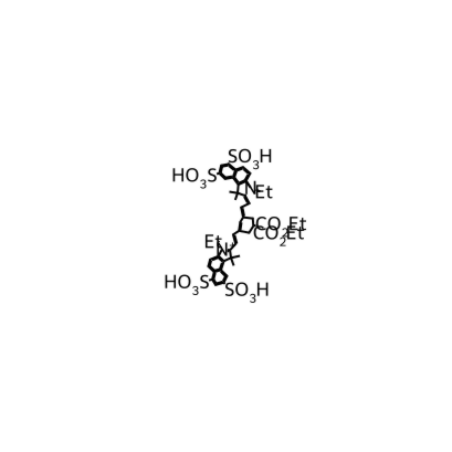 CCOC(=O)C1(C(=O)OCC)CC(/C=C/C2=[N+](CC)c3ccc4c(S(=O)(=O)O)cc(S(=O)(=O)O)cc4c3C2(C)C)=CC(=C/C=C2/N(CC)c3ccc4c(S(=O)(=O)O)cc(S(=O)(=O)O)cc4c3C2(C)C)/C1